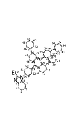 CCc1nc2ccccc2n1-c1ccc(-c2c3ccccc3c(-c3ccc4c5c(cccc35)-c3ccccc3-4)c3cc(-c4ccccc4)ccc23)cc1